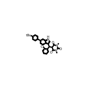 CN1C(=O)C(C(c2ccccc2Cl)c2c[nH]c3cc(-c4ccc(C(C)(C)C)cc4)ccc23)C(=O)N(C)C1=O